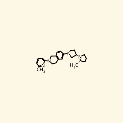 Cc1cccc(N2CCc3cc(N4CC[C@H](N5CCC[C@@H]5C)C4)ccc3C2)n1